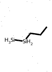 CC[CH][SiH2][SiH3]